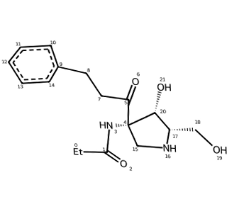 CCC(=O)N[C@@]1(C(=O)CCc2ccccc2)CN[C@@H](CO)[C@H]1O